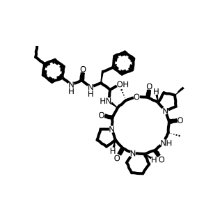 CCc1ccc(NC(=O)N[C@@H](Cc2ccccc2)C(O)N[C@@H]2C(=O)N3CCC[C@H]3C(=O)N3CCCC[C@H]3C(=O)N[C@@H](C)C(=O)N3C[C@H](C)C[C@H]3C(=O)O[C@H]2C)cc1